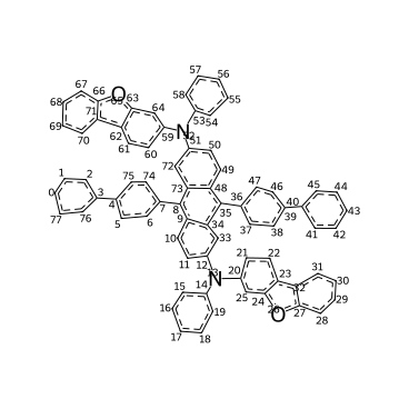 c1ccc(-c2ccc(-c3c4ccc(N(c5ccccc5)c5ccc6c(c5)oc5ccccc56)cc4c(-c4ccc(-c5ccccc5)cc4)c4ccc(N(c5ccccc5)c5ccc6c(c5)oc5ccccc56)cc34)cc2)cc1